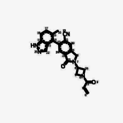 C=CC(=O)N1CC(N2Cc3cc(C#N)c(-c4c(C)ccc5[nH]ncc45)cc3C2=O)C1